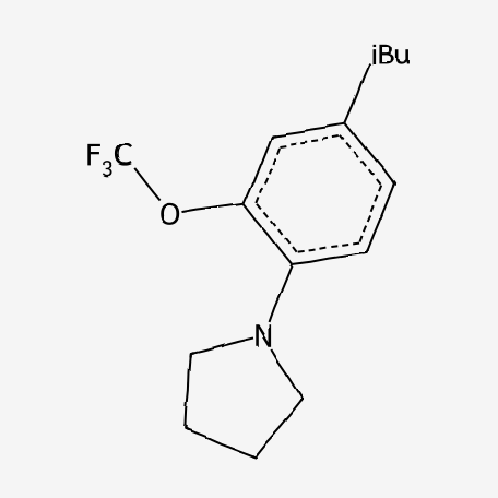 CCC(C)c1ccc(N2CCCC2)c(OC(F)(F)F)c1